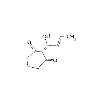 C/C=C/C(O)=C1C(=O)CCCC1=O